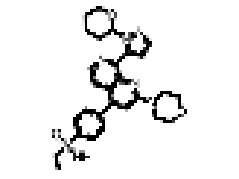 CCS(=N)(=O)c1ccc(-c2cc(N3CCOCC3)nc3c(-c4ccnn4C4CCCCO4)nccc23)cc1